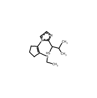 CCSC1=C(n2ccnc2C(S)C(C)C)CCC1